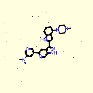 CN1CCN(c2cccc3[nH]c(-c4n[nH]c5cnc(-c6cncc(N(C)C)c6)cc45)cc23)CC1